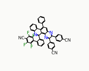 N#Cc1ccc(-c2nc3cc(-c4ccccc4)c4c5ccccc5nc(-c5ccccc5-c5c(F)c(F)c(C#N)c(F)c5F)c4c3nc2-c2ccc(C#N)cc2)cc1